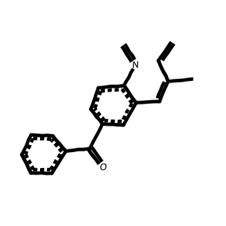 C=C/C(C)=C\c1cc(C(=O)c2ccccc2)ccc1N=C